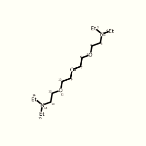 CCN(CC)CCOCCOCCOCCN(CC)CC